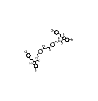 O=C(NCCN1CCN(C(=O)CCC(O)N2CCN(CCNC(=O)c3c(/C=C/c4ccc(Cl)cc4)[nH]c4cc(Br)ccc34)CC2)CC1)c1c(/C=C/c2ccc(Cl)cc2)[nH]c2cc(Br)ccc12